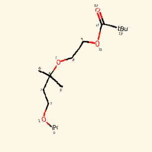 CC(C)OCCC(C)(C)OCCOC(=O)C(C)(C)C